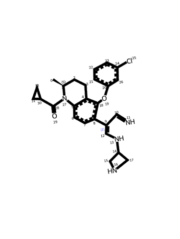 C[C@H]1CCc2c(ccc(/C(C=N)=C/NC3CNC3)c2Oc2cccc(Cl)c2)N1C(=O)C1CC1